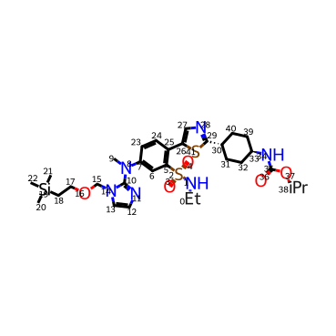 CCNS(=O)(=O)c1cc(N(C)c2nccn2COCC[Si](C)(C)C)ccc1-c1cnc([C@H]2CC[C@H](NC(=O)OC(C)C)CC2)s1